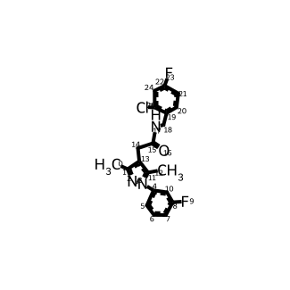 Cc1nn(-c2cccc(F)c2)c(C)c1CC(=O)NCc1ccc(F)cc1Cl